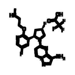 CNCCOc1ncc(F)cc1[C@H]1C[C@H](F)CN1c1ccn2ncc(N)c2n1.O=C(O)C(F)(F)F